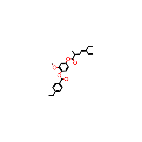 C=C/C(=C\C=C(/C)C(=O)Oc1ccc(OC(=O)c2ccc(CC)cc2)c(OC)c1)CC